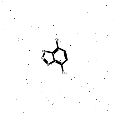 Cc1ccc(O)c2nn[nH]c12